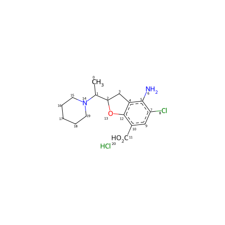 CC(C1Cc2c(N)c(Cl)cc(C(=O)O)c2O1)N1CCCCC1.Cl